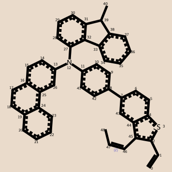 C=Cc1sc2ccc(-c3ccc(N(c4ccc5ccc6ccccc6c5c4)c4cccc5c4-c4ccccc4C5C)cc3)cc2c1/C=C\C